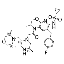 CC1COc2nc(NS(=O)(=O)C3CC3)c(Cc3ccc(F)cc3)cc2N1C(=O)CN1C[C@@H](C)NC[C@@H]1CN1[C@H](C)COC[C@H]1C